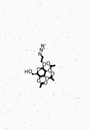 CC(=O)O[C@H]1[C@@H](OC(C)=O)[C@@H](CO)O[C@@H](OCCN=[N+]=[N-])[C@@H]1OC(C)=O